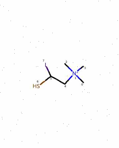 C[N+](C)(C)CC(S)I